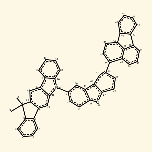 CC1(C)c2ccccc2-c2cc3c(cc21)c1ccccc1n3-c1ccc2oc3ccc(-c4ccc5c6c(cccc46)-c4ccccc4-5)cc3c2c1